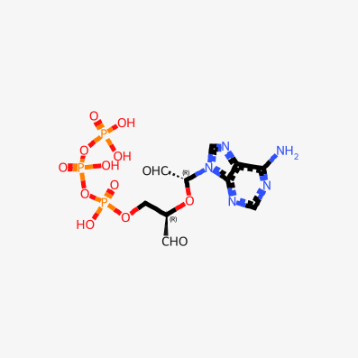 Nc1ncnc2c1ncn2[C@@H](C=O)O[C@@H](C=O)COP(=O)(O)OP(=O)(O)OP(=O)(O)O